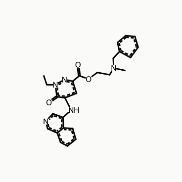 CCn1nc(C(=O)OCCN(C)Cc2ccccc2)cc(Nc2cncc3ccccc23)c1=O